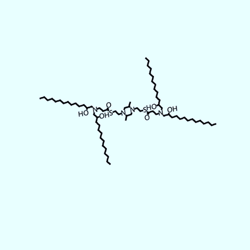 CCCCCCCCCCCCC(O)CN(CCC(=O)SCCN1CC(C)N(CCSC(=O)CCN(CC(O)CCCCCCCCCCCC)CC(O)CCCCCCCCCCCC)CC1C)CC(O)CCCCCCCCCCCC